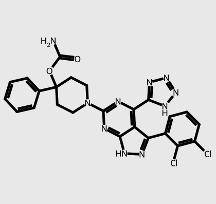 NC(=O)OC1(c2ccccc2)CCN(c2nc(-c3nnn[nH]3)c3c(-c4cccc(Cl)c4Cl)n[nH]c3n2)CC1